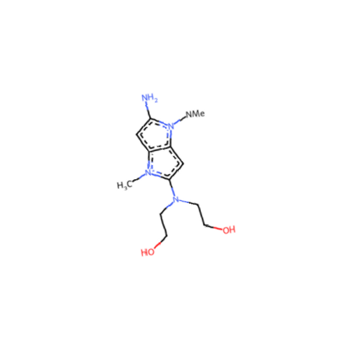 CNn1c(N)cc2c1cc(N(CCO)CCO)n2C